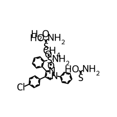 C.NC(O)=S.NC(O)=S.NS(=O)(=O)c1ccccc1-c1nn(-c2ccccc2)cc1-c1ccc(Cl)cc1.O